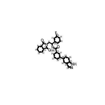 O=C(NC(CN1C(=O)c2ccccc2C1=O)c1cccc(F)c1)c1cccc(-c2ccc3[nH]ncc3c2)c1